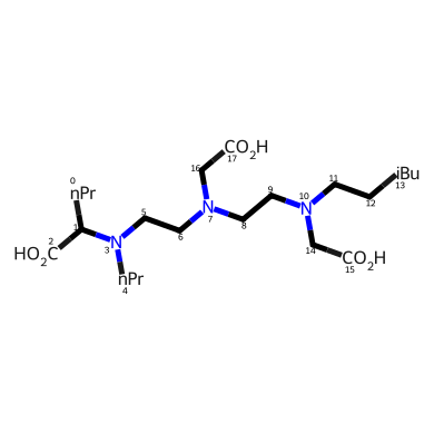 CCCC(C(=O)O)N(CCC)CCN(CCN(CCC(C)CC)CC(=O)O)CC(=O)O